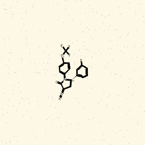 [N-]=[N+]=C1C[C@@H](c2cccc(F)c2)N(c2ccc(OC(F)(F)F)cc2)C1=O